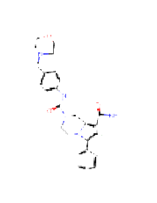 NC(=O)c1c(Cl)c(-c2ccccc2)n2c1CN(C(=O)Nc1ccc(CN3CCOCC3)cc1)CC2